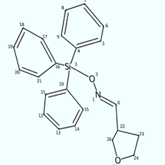 C(=NO[Si](c1ccccc1)(c1ccccc1)c1ccccc1)C1CCOC1